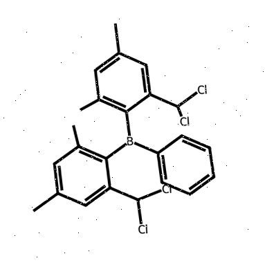 Cc1cc(C)c(B(c2ccccc2)c2c(C)cc(C)cc2C(Cl)Cl)c(C(Cl)Cl)c1